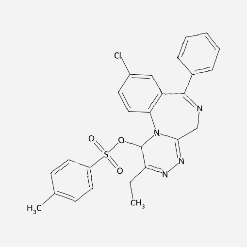 CCC1=NN=C2CN=C(c3ccccc3)c3cc(Cl)ccc3N2C1OS(=O)(=O)c1ccc(C)cc1